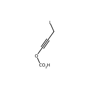 O=C(O)OC#CCI